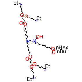 CC/C=C\CCCCOC(CCC(=O)OCCCCCCCN(CCCCCCCOC(=O)CCC(OCCCC/C=C\CC)OCCCC/C=C\CC)CCN(CCO)CCCCCCCCCOC(=O)C(CCCC)CCCCCC)OCCCC/C=C\CC